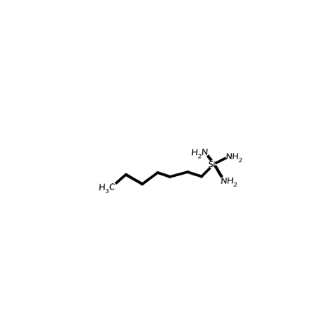 CCCCCCC[Si](N)(N)N